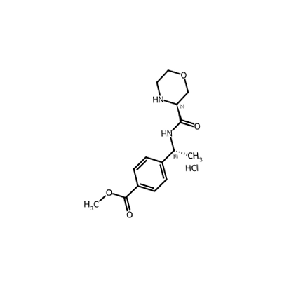 COC(=O)c1ccc([C@@H](C)NC(=O)[C@@H]2COCCN2)cc1.Cl